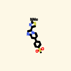 CNc1nc(-c2cnc3cc(-c4ccc(S(C)(=O)=O)cc4)ccn23)cs1